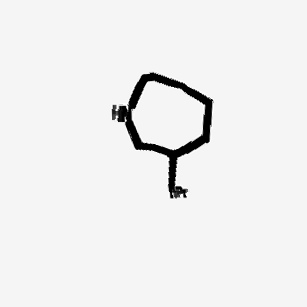 [CH2]CCC1CCCCNC1